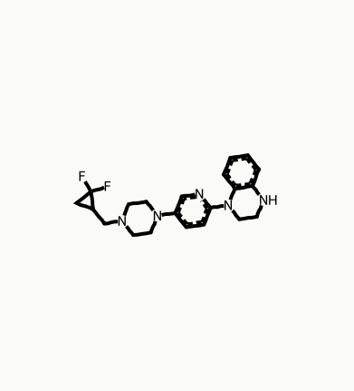 FC1(F)CC1CN1CCN(c2ccc(N3CCNc4ccccc43)nc2)CC1